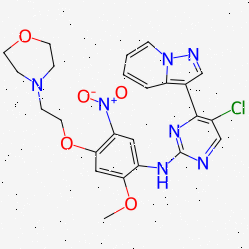 COc1cc(OCCN2CCOCC2)c([N+](=O)[O-])cc1Nc1ncc(Cl)c(-c2cnn3ccccc23)n1